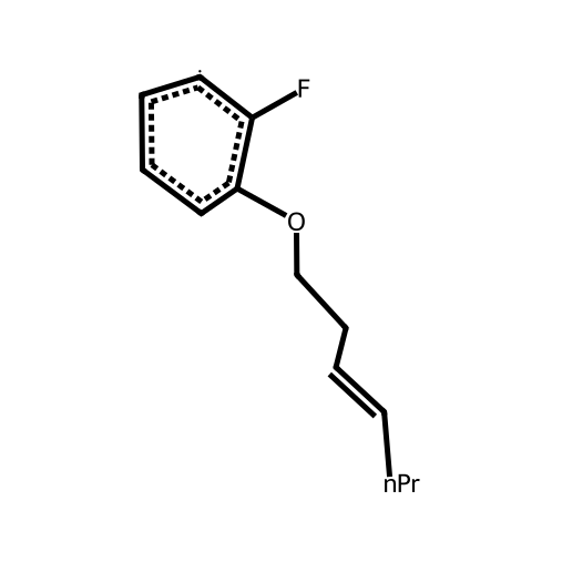 CCC/C=C/CCOc1ccc[c]c1F